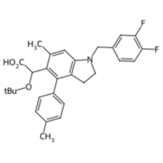 Cc1ccc(-c2c3c(cc(C)c2C(OC(C)(C)C)C(=O)O)N(Cc2ccc(F)c(F)c2)CC3)cc1